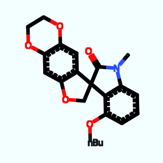 CCCCOc1cccc2c1C1(COc3cc4c(cc31)OCCO4)C(=O)N2C